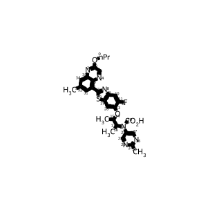 CCCOc1cnc2c(-c3nc4cc(F)c(OC(C)C(C)N(C(=O)O)c5cnc(C)nc5)cc4s3)cc(C)cc2n1